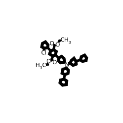 CCOC(=O)c1cc(-c2ccccc2Cl)c(C(=O)OCC)cc1-c1ccc(N(c2ccc(-c3ccccc3)cc2)c2ccc(-c3ccccc3)cc2)cc1